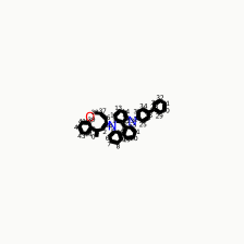 C=C1/C=C(N(c2ccccc2)c2cccc3c2c2ccccc2n3-c2ccc(-c3ccccc3)cc2)\C=C/COc2ccccc21